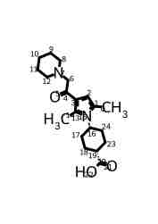 Cc1cc(C(=O)CN2CCCCC2)c(C)n1[C@H]1CC[C@@H](C(=O)O)CC1